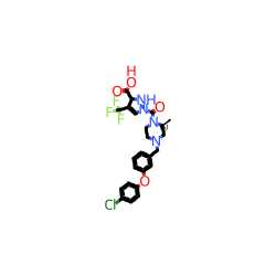 C[C@H]1CN(Cc2cccc(Oc3ccc(Cl)cc3)c2)CCN1C(=O)N1C=C(C(F)(F)F)C(C(=O)O)N1